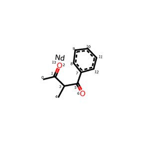 CC(=O)C(C)C(=O)c1ccccc1.[Nd]